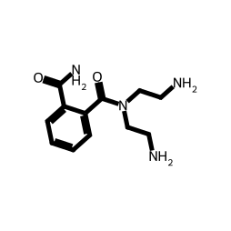 NCCN(CCN)C(=O)c1ccccc1C(N)=O